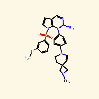 COc1cccc(S(=O)(=O)n2ccc3c2N(c2ccc(N4C=CC5(CC4)CN(C)C5)cc2)C(N)N=C3)c1